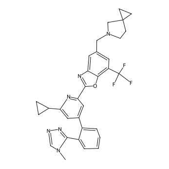 Cn1cnnc1-c1ccccc1-c1cc(-c2nc3cc(CN4CCC5(CC5)C4)cc(C(F)(F)F)c3o2)nc(C2CC2)c1